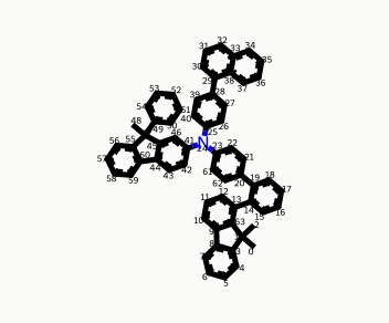 CC1(C)c2ccccc2-c2cccc(-c3ccccc3-c3ccc(N(c4ccc(-c5cccc6ccccc56)cc4)c4ccc5c(c4)C(C)(c4ccccc4)c4ccccc4-5)cc3)c21